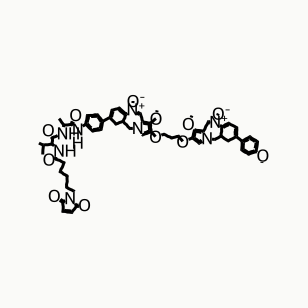 COc1ccc(C2=CC=C3C(C2)Cn2cc(OCCCOc4cn5c(c4OC)C=[N+]([O-])C4=CC=C(c6ccc(NC(=O)C(C)NC(=O)C(NC(=O)CCCCCN7C(=O)C=CC7=O)C(C)C)cc6)CC4C5)c(OC)c2C=[N+]3[O-])cc1